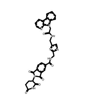 O=C(Cn1c2ccccc2c2cccnc21)NCc1cnc(CNC(=O)c2ccc3c(c2)C(=O)N(C2CCC(=O)NC2=O)C3=O)s1